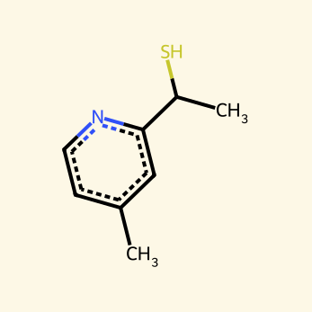 Cc1ccnc(C(C)S)c1